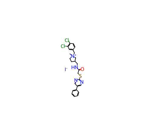 C[N+]1(Cc2ccc(Cl)c(Cl)c2)CCC(CNC(=O)CSc2ncc(-c3ccccc3)cn2)C1.[I-]